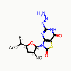 CCC(OC(C)=O)[C@@H]1C[C@H](N=O)[C@H](n2c(=O)sc3c(=O)[nH]c(N=NN)nc32)O1